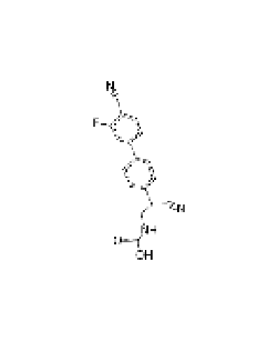 N#Cc1ccc(-c2ccc(C(C#N)CNC(=O)O)cc2)cc1F